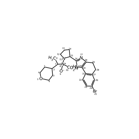 CC(C1CCOCC1)[N+]([O-])(C(=O)O)N1CCCC1c1nc2c([nH]1)-c1ccc(Br)cc1CC2